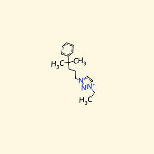 CC[n+]1ccn(CCCC(C)(C)c2ccccc2)n1